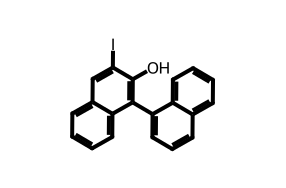 Oc1c(I)cc2ccccc2c1-c1cccc2ccccc12